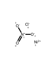 O=[N+]([O-])[O-].[Cl-].[Ni+2]